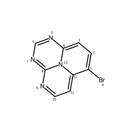 BrC1=CC=C2N=CN=C3N=CC=C1N23